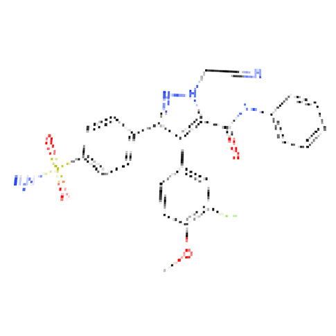 COc1ccc(-c2c(-c3ccc(S(N)(=O)=O)cc3)nn(CC#N)c2C(=O)Nc2ccccc2)cc1F